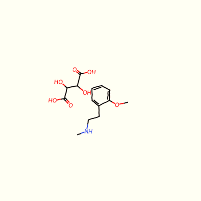 CNCCc1ccccc1OC.O=C(O)C(O)C(O)C(=O)O